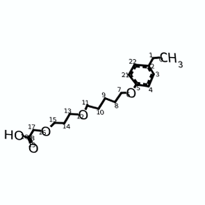 CCc1ccc(OCCCCCOCCCOCC(=O)O)cc1